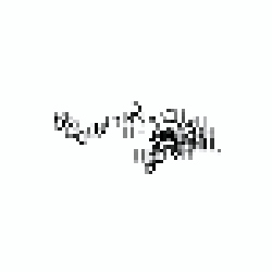 CN(CCCNC(=O)NCc1ccc(N2CCC(Oc3ccc(OC(F)(F)F)cc3)CC2)cc1)C(C(N)=O)C(OC1OC(CN)C(O)C1O)C1OC(n2ccc(=O)[nH]c2=O)C(O)C1O